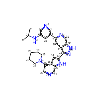 CC(C)Nc1cncc(-c2cc3c(-c4cc5c(N6CCCCC6)cncc5[nH]4)n[nH]c3cn2)c1